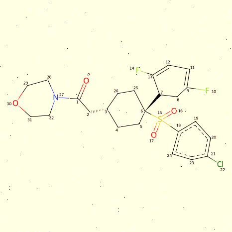 O=C(C[C@H]1CC[C@@](C2CC(F)=CC=C2F)(S(=O)(=O)c2ccc(Cl)cc2)CC1)N1CCOCC1